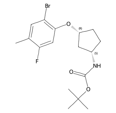 Cc1cc(Br)c(O[C@@H]2CC[C@H](NC(=O)OC(C)(C)C)C2)cc1F